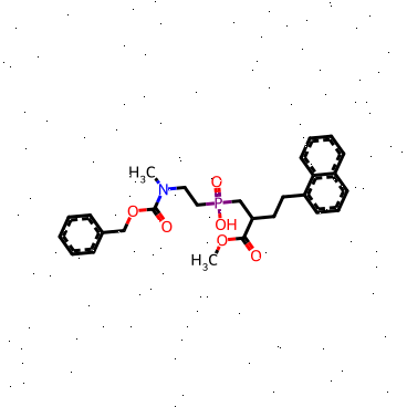 COC(=O)C(CCc1cccc2ccccc12)CP(=O)(O)CCN(C)C(=O)OCc1ccccc1